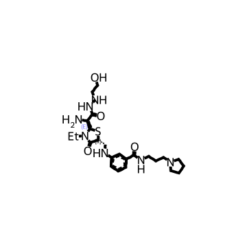 CCN1C(=O)[C@@H](CNc2cccc(C(=O)NCCCN3CCCC3)c2)S/C1=C(/N)C(=O)NNCCO